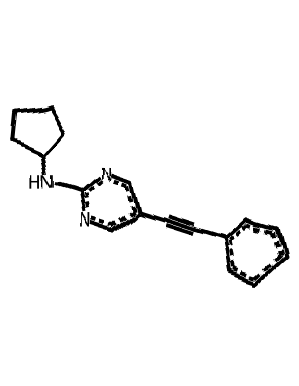 C(#Cc1cnc(NC2CCCC2)nc1)c1ccccc1